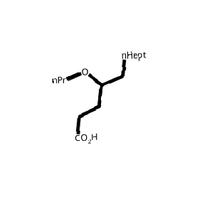 CCCCCCCCC(CCC(=O)O)OCCC